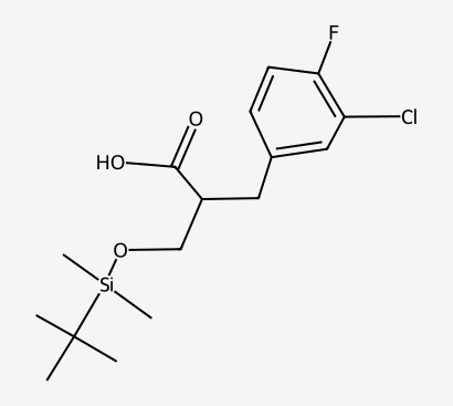 CC(C)(C)[Si](C)(C)OCC(Cc1ccc(F)c(Cl)c1)C(=O)O